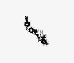 N#Cc1ccc(OC2CCN(C(=O)CCCc3nc4ccc(F)cc4c(=O)[nH]3)CC2)cc1